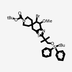 COC1c2nc(C(C)(C)CO[Si](c3ccccc3)(c3ccccc3)C(C)(C)C)sc2CC2(CCN(C(=O)OC(C)(C)C)CC2)C1Br